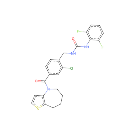 O=C(NCc1ccc(C(=O)N2CCCCc3sccc32)cc1Cl)Nc1c(F)cccc1F